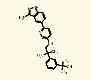 CC(C)(O)c1cccc(C(C)(C)CNc2ccc(-c3ccc4[nH]nc(N)c4c3)nn2)c1